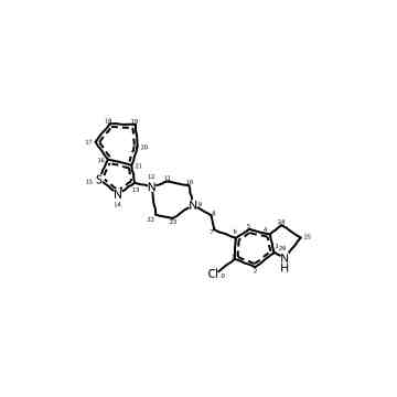 Clc1cc2c(cc1CCN1CCN(c3nsc4ccccc34)CC1)CCN2